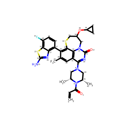 C=CC(=O)N1[C@H](C)CN(c2nc(=O)n3c4c(c(-c5ccc(F)c6sc(N)nc56)c(C(F)(F)F)cc24)SCC(OC2CC2)C3)C[C@@H]1C